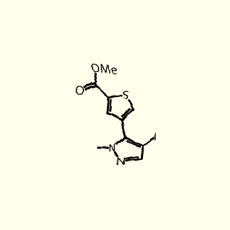 COC(=O)c1cc(-c2c(I)cnn2C)cs1